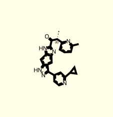 Cc1cccc([C@@H](C)C(=O)c2nc3cc4c(-c5ccnc(C6CC6)c5)n[nH]c4cc3[nH]2)n1